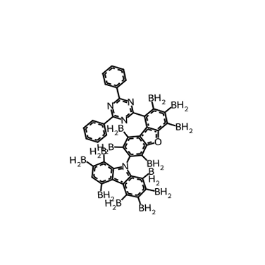 Bc1cc(B)c2c3c(B)c(B)c(B)c(B)c3n(-c3c(B)c(B)c4c(oc5c(B)c(B)c(B)c(-c6nc(-c7ccccc7)nc(-c7ccccc7)n6)c54)c3B)c2c1B